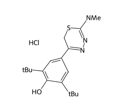 CNC1=NN=C(c2cc(C(C)(C)C)c(O)c(C(C)(C)C)c2)CS1.Cl